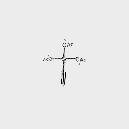 C#C[Si](OC(C)=O)(OC(C)=O)OC(C)=O